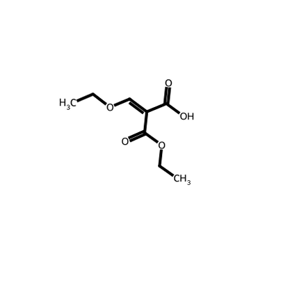 CCOC=C(C(=O)O)C(=O)OCC